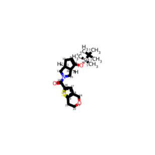 CC(C)(C)[Si](C)(C)OC1=CC[C@@H]2CN(C(=O)c3cc4c(s3)CCOC4)C[C@H]12